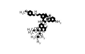 COc1ccc(CNCCc2cccc(C(Nc3ccc4c(N(C(=O)OC(C)(C)C)C(=O)OC(C)(C)C)ncc(F)c4c3)C(=O)N(C)Cc3cc(N)ccc3S(=O)(=O)C3CC3)c2)cc1